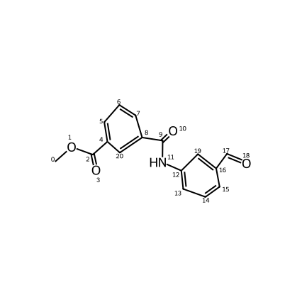 COC(=O)c1cccc(C(=O)Nc2cccc(C=O)c2)c1